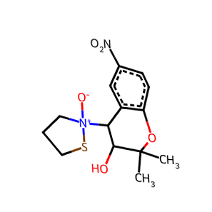 CC1(C)Oc2ccc([N+](=O)[O-])cc2C([N+]2([O-])CCCS2)C1O